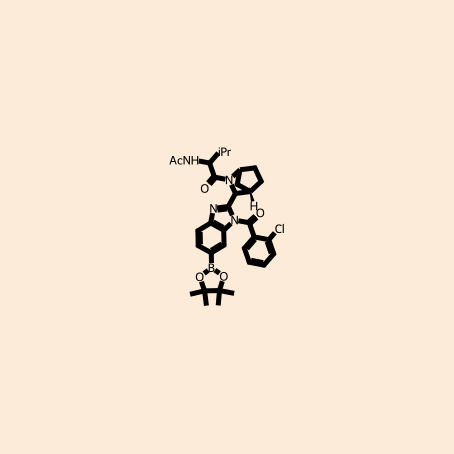 CC(=O)NC(C(=O)N1C2CC[C@@H](C2)C1c1nc2ccc(B3OC(C)(C)C(C)(C)O3)cc2n1C(=O)c1ccccc1Cl)C(C)C